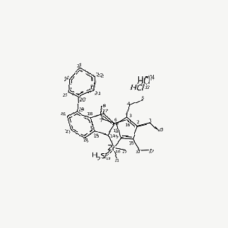 CCC1=C(CC)C(CC)[C]([Zr]([CH3])([CH3])(=[SiH2])[CH]2C(C)=Cc3c(-c4ccccc4)cccc32)=C1CC.Cl.Cl